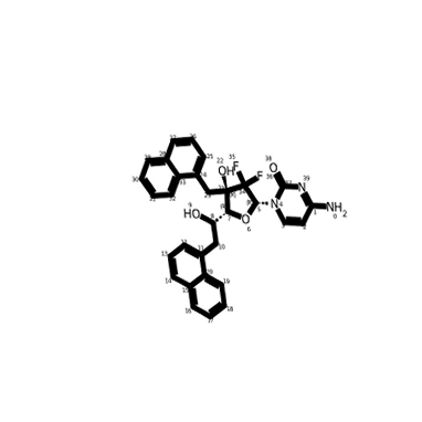 Nc1ccn([C@@H]2O[C@H](C(O)Cc3cccc4ccccc34)[C@](O)(Cc3cccc4ccccc34)C2(F)F)c(=O)n1